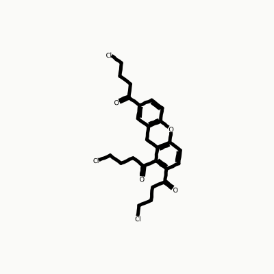 O=C(CCCCl)c1ccc2c(c1)Cc1c(ccc(C(=O)CCCCl)c1C(=O)CCCCl)O2